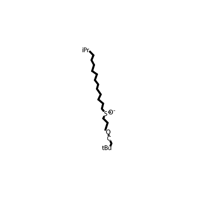 CC(C)CCCCCCCCCCCC[S+]([O-])CCCOCCC(C)(C)C